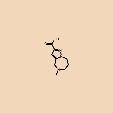 CN1CCCn2nc(C(=O)O)cc2C1